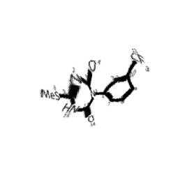 CSc1nc(=O)n(-c2cccc(C(F)(F)F)c2)c(=O)[nH]1